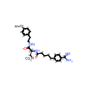 COc1ccc(CCNC(=O)[C@H](CC(=O)O)NC(=O)CCCCc2ccc(C(=N)N)cc2)cc1